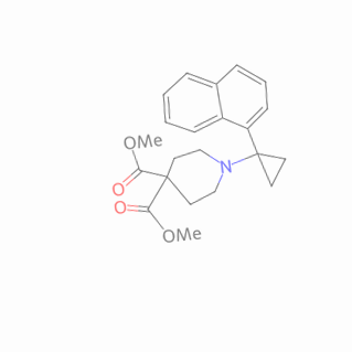 COC(=O)C1(C(=O)OC)CCN(C2(c3cccc4ccccc34)CC2)CC1